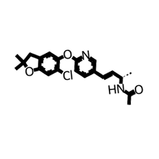 CC(=O)N[C@@H](C)/C=C/c1ccc(Oc2cc3c(cc2Cl)OC(C)(C)C3)nc1